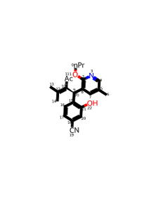 CCCOc1ncc(C)cc1[C@H](C(C(C)=O)=C(C)C)c1ccc(C#N)cc1O